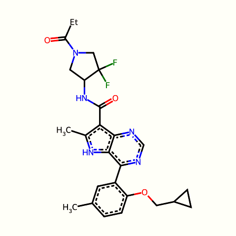 CCC(=O)N1CC(NC(=O)c2c(C)[nH]c3c(-c4cc(C)ccc4OCC4CC4)ncnc23)C(F)(F)C1